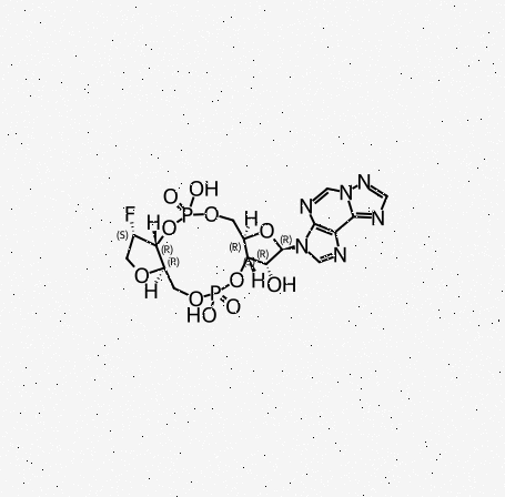 O=P1(O)OC[C@H]2OC[C@H](F)[C@@H]2OP(=O)(O)OC[C@H]2O[C@@H](n3cnc4c3ncn3ncnc43)[C@H](O)[C@@H]2O1